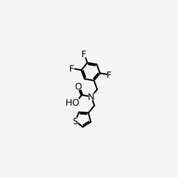 O=C(O)N(Cc1ccsc1)Cc1cc(F)c(F)cc1F